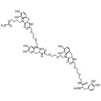 CC(=O)NC(Cc1ccc(O)c(O)c1)C(=O)NCCOCCOCC(=O)NC(Cc1ccc(O)c(O)c1)C(=O)NCCOCCOCC(=O)NC(Cc1ccc(O)c(O)c1)C(=O)NCCOCCOCC(=O)NC(Cc1ccc(O)c(O)c1)C(=O)NCCCC[C@@H](C)C(N)=O